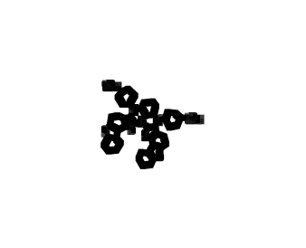 CC(C)(C)c1ccc(N2c3cccc4c3B(c3sc5c(ccc6sc7c(c65)CCC=C7)c32)c2sc3c(ccc5sc6ccccc6c53)c2N4C2=CCC(C(C)(C)C)C=C2)cc1